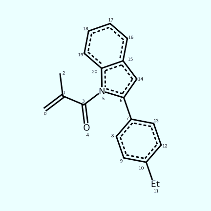 C=C(C)C(=O)n1c(-c2ccc(CC)cc2)cc2ccccc21